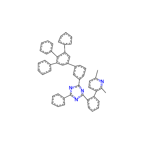 Cc1ccc(-c2ccccc2-c2nc(-c3ccccc3)nc(-c3cccc(-c4cc(-c5ccccc5)c(-c5ccccc5)c(-c5ccccc5)c4)c3)n2)c(C)n1